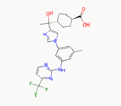 Cc1cc(Nc2nccc(C(F)(F)F)n2)cc(-n2cnc(C(C)(O)[C@H]3CC[C@H](C(=O)O)CC3)c2)c1